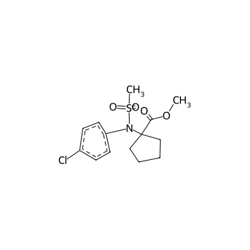 COC(=O)C1(N(c2ccc(Cl)cc2)S(C)(=O)=O)CCCC1